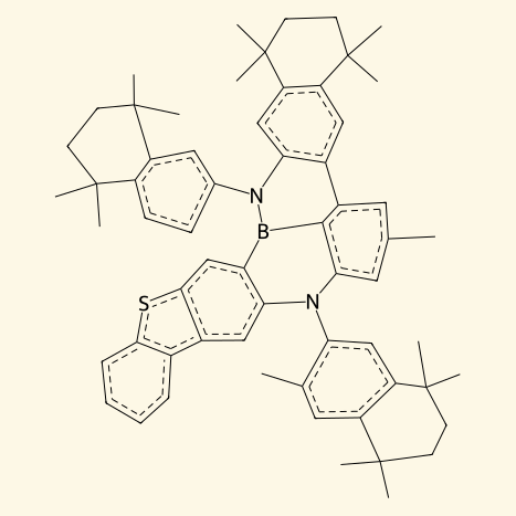 Cc1cc2c3c(c1)N(c1cc4c(cc1C)C(C)(C)CCC4(C)C)c1cc4c(cc1B3N(c1ccc3c(c1)C(C)(C)CCC3(C)C)c1cc3c(cc1-2)C(C)(C)CCC3(C)C)sc1ccccc14